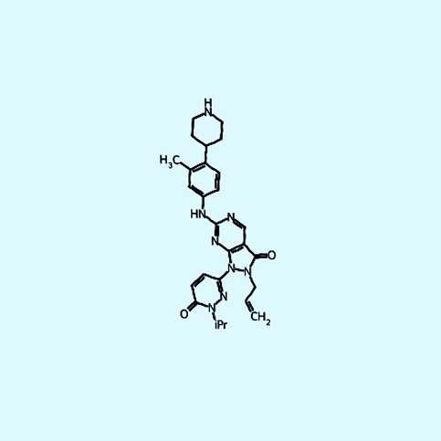 C=CCn1c(=O)c2cnc(Nc3ccc(C4CCNCC4)c(C)c3)nc2n1-c1ccc(=O)n(C(C)C)n1